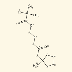 CCC(C)(C)C(=O)OCCCC(=O)CC1(C)CCCC1